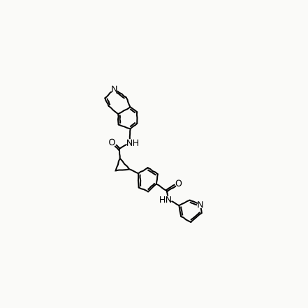 O=C(Nc1cccnc1)c1ccc(C2CC2C(=O)Nc2ccc3cnccc3c2)cc1